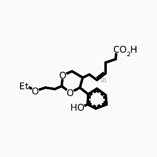 CCOCCC1OCC(C/C=C\CCC(=O)O)C(c2ccccc2O)O1